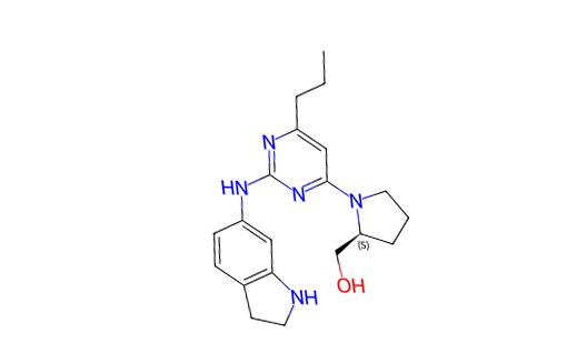 CCCc1cc(N2CCC[C@H]2CO)nc(Nc2ccc3c(c2)NCC3)n1